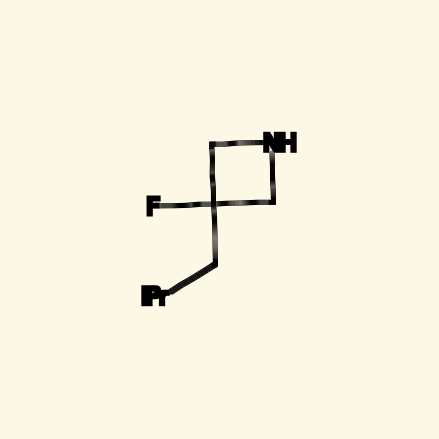 CC(C)CC1(F)CNC1